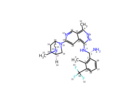 Cc1c([C@@H](N)Nc2nnc(C)c3cnc(N4C[C@H]5CCC4CN5C)cc23)cccc1C(F)(F)F